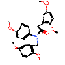 COc1ccc(N(Cc2cc(OC)ccc2OC)C(=O)Cc2cc(OC)ccc2OC)cc1